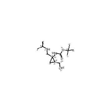 CC(C)NC[C@]1(NC(=O)OC(C)(C)C)C[C@@H]1CO